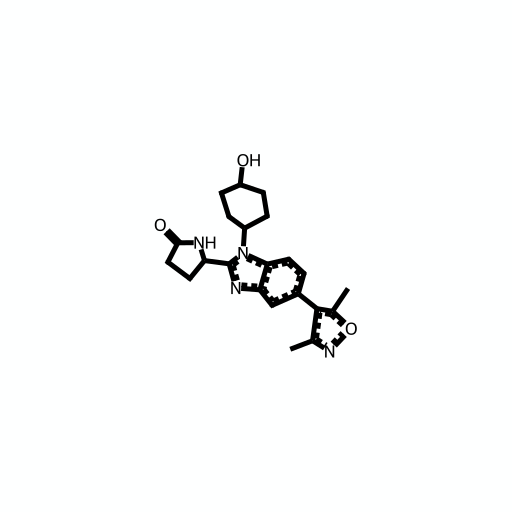 Cc1noc(C)c1-c1ccc2c(c1)nc(C1CCC(=O)N1)n2C1CCC(O)CC1